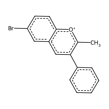 Cc1[o+]c2ccc(Br)cc2cc1-c1ccccc1